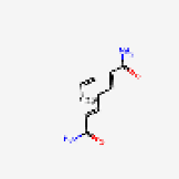 C=CC(=O)O.NC(=O)C=CCC=CC(N)=O